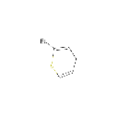 CCC1=CCC=CS1